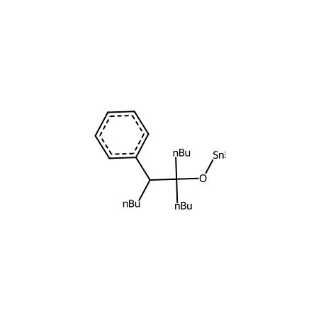 CCCCC(c1ccccc1)C(CCCC)(CCCC)[O][Sn]